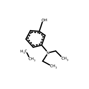 CC.CCN(CC)c1cccc(O)c1